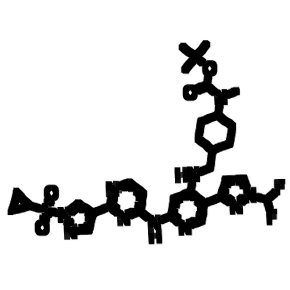 CN(C(=O)OC(C)(C)C)C1CCC(CNc2cc(Nc3ccnc(-c4cnn(S(=O)(=O)C5CC5)c4)n3)ncc2-c2ccn(C(F)F)n2)CC1